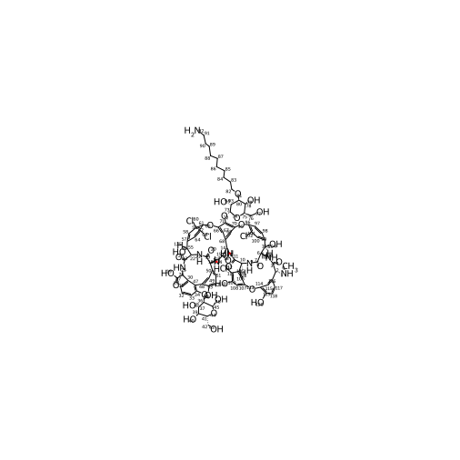 CN[C@H]1C(=O)N[C@H]2C(=O)N[C@H](C(=O)N[C@H]3C(=O)N[C@H]4C(=O)NC(C(=O)NC(C(=O)O)c5cccc(O[C@@H]6[C@@H](O)[C@H](O)[C@@H](CO)O[C@@H]6O)c5-c5cc4ccc5O)[C@H](O)c4cc(Cl)c(c(Cl)c4)Oc4cc3cc(c4O[C@H]3O[C@H](CO)[C@H](O)[C@H](OCCCCCCCCCCN)[C@H]3O)Oc3ccc(cc3Cl)[C@H]2O)c2cc(cc(O)c2Cl)Oc2cc1ccc2O